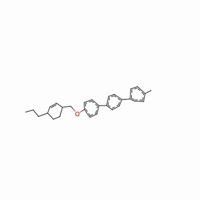 CCCC1C=CC(COc2ccc(-c3ccc(-c4ccc(C)cc4)cc3)cc2)CC1